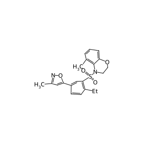 CCc1ccc(-c2cc(C)no2)cc1S(=O)(=O)N1CCOc2cccc(C)c21